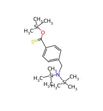 C[Si](C)(C)OC(=S)c1ccc(CN([Si](C)(C)C)[Si](C)(C)C)cc1